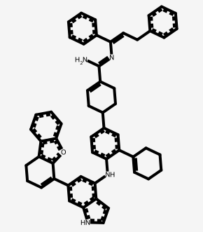 N/C(=N\C(=C/Cc1ccccc1)c1ccccc1)C1=CCC(c2ccc(Nc3cc(C4=CCCc5c4oc4ccccc54)cc4[nH]ccc34)c(C3=CCCCC3)c2)CC1